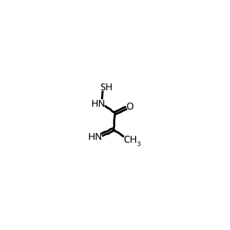 CC(=N)C(=O)NS